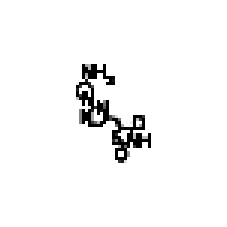 NC1CCN(c2nccc(/C=C3\SC(=O)NC3=O)n2)C1